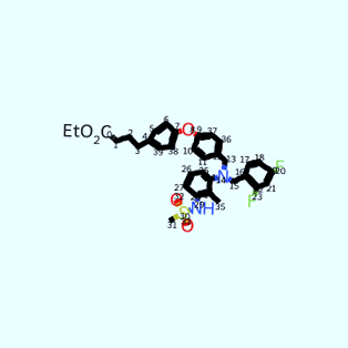 CCOC(=O)CCCc1ccc(Oc2ccc(CN(Cc3ccc(F)cc3F)c3cccc(NS(C)(=O)=O)c3C)cc2)cc1